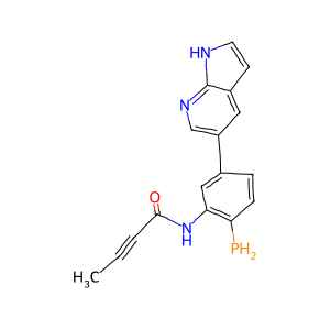 CC#CC(=O)Nc1cc(-c2cnc3[nH]ccc3c2)ccc1P